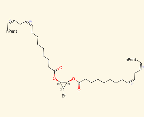 CCCCC/C=C\C/C=C\CCCCCCCC(=O)O[C@@H]1[C@@H](CC)[C@@H]1OC(=O)CCCCCCC/C=C\C/C=C\CCCCC